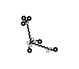 O=C(CCCCCCCCCCC(CCCCCCCCCCCOC(c1ccccc1)(c1ccccc1)c1ccccc1)(C(=O)OCc1ccccc1)C(=O)OCc1ccccc1)OCc1ccccc1